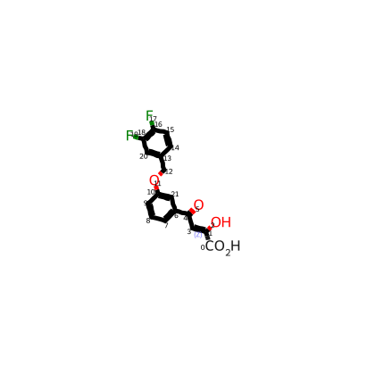 O=C(O)/C(O)=C/C(=O)c1cccc(OCc2ccc(F)c(F)c2)c1